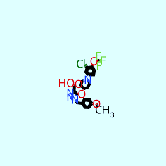 COc1ccc(Cn2nnc(C(=O)O)c2OC2CCN(c3ccc(OC(F)(F)F)c(Cl)c3)CC2)cc1